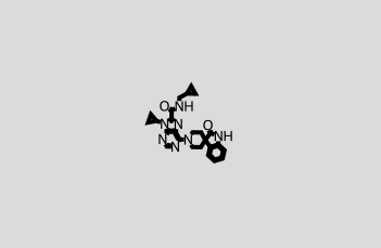 O=C(NCC1CC1)c1nc2c(N3CCC4(CC3)C(=O)Nc3ccccc34)ncnc2n1C1CC1